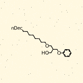 CCCCCCCCCCCCCCCCCCOCC(CO)COc1ccccc1